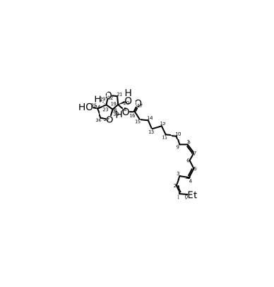 CC/C=C\C/C=C\C/C=C\CCCCCCCC(=O)O[C@@]1(O)CO[C@@H]2[C@H](O)CO[C@@H]21